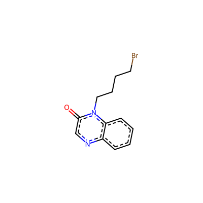 O=c1cnc2ccccc2n1CCCCBr